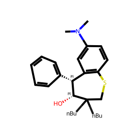 CCCCC1(CCCC)CSc2ccc(N(C)C)cc2[C@@H](c2ccccc2)[C@H]1O